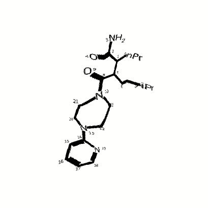 CCCC(C(N)=O)C(CC(C)C)C(=O)N1CCN(c2ccccn2)CC1